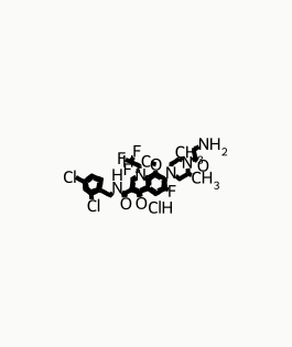 COc1c(N2CC(C)N(C(=O)CN)C(C)C2)c(F)cc2c(=O)c(C(=O)NCc3ccc(Cl)cc3Cl)cn(CC(F)(F)F)c12.Cl